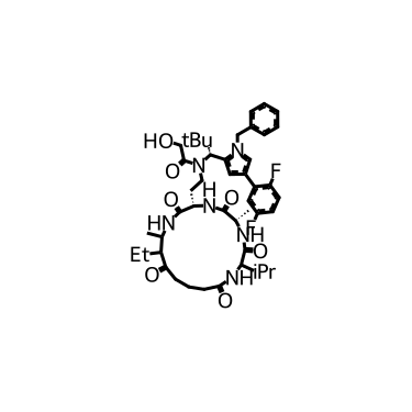 CCC1C(=O)CCCC(=O)NC(C(C)C)C(=O)N[C@@H](C)C(=O)N[C@@H](CCN(C(=O)CO)[C@@H](c2cc(-c3cc(F)ccc3F)cn2Cc2ccccc2)C(C)(C)C)C(=O)NC1C